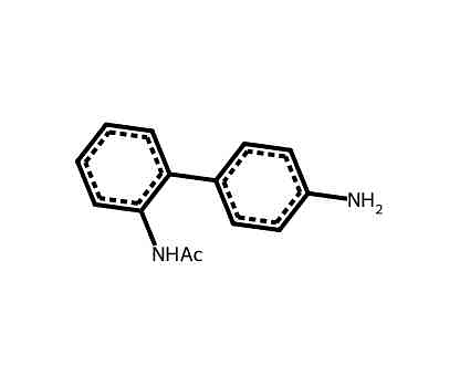 CC(=O)Nc1ccccc1-c1ccc(N)cc1